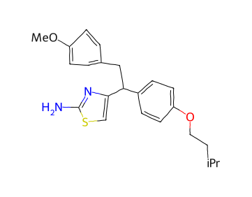 COc1ccc(CC(c2ccc(OCCC(C)C)cc2)c2csc(N)n2)cc1